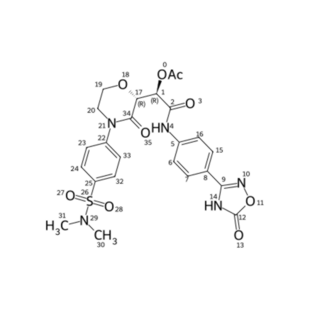 CC(=O)O[C@@H](C(=O)Nc1ccc(-c2noc(=O)[nH]2)cc1)[C@H]1OCCN(c2ccc(S(=O)(=O)N(C)C)cc2)C1=O